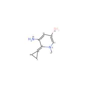 BC1=CN(C)C(=C2CC2)C(N)=C1